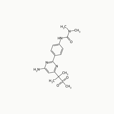 CN(C)C(=O)Nc1ccc(-c2nc(N)cc(C(C)(C)S(C)(=O)=O)n2)cc1